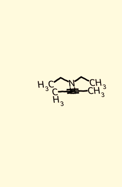 CC#CC.CCNCC